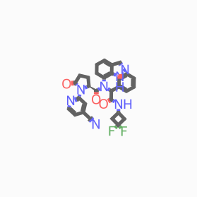 N#Cc1ccnc(N2C(=O)CC[C@H]2C(=O)N(C2=c3[nH]ncc3=CCC2)C(C(=O)NC2CC(F)(F)C2)c2ccccc2)c1